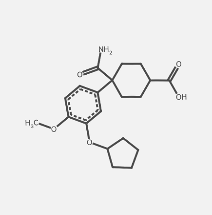 COc1ccc(C2(C(N)=O)CCC(C(=O)O)CC2)cc1OC1CCCC1